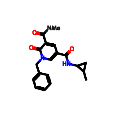 CNC(=O)c1cc(C(=O)NC2CC2C)cn(Cc2ccccc2)c1=O